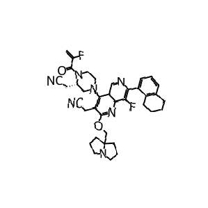 C=C(F)C(=O)N1CCN(C2=C(CC#N)C(OCC34CCCN3CCC4)=NC3C(F)=C(c4cccc5c4CCCC5)N=CC23)C[C@@H]1CC#N